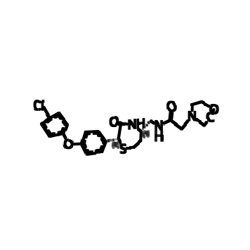 O=C(CN1CCOCC1)NC[C@@H]1CCS[C@H](c2ccc(Oc3ccc(Cl)cc3)cc2)C(=O)N1